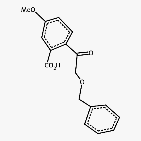 COc1ccc(C(=O)COCc2ccccc2)c(C(=O)O)c1